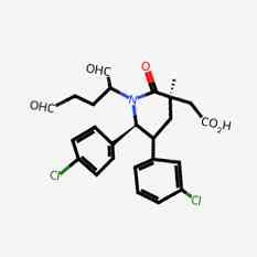 C[C@]1(CC(=O)O)CC(c2cccc(Cl)c2)[C@@H](c2ccc(Cl)cc2)N(C(C=O)CCC=O)C1=O